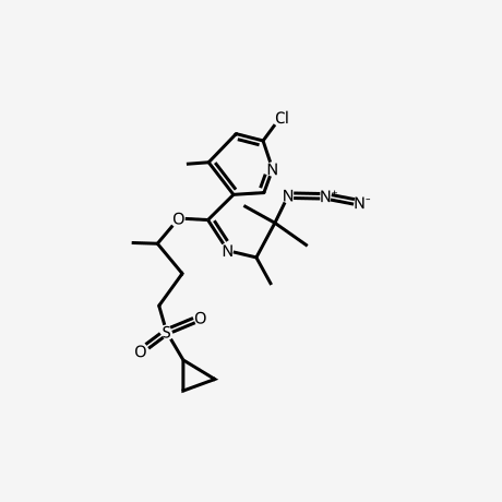 Cc1cc(Cl)ncc1/C(=N\C(C)C(C)(C)N=[N+]=[N-])OC(C)CCS(=O)(=O)C1CC1